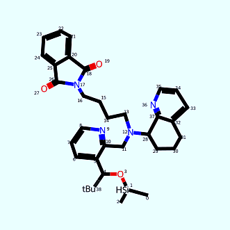 C[SiH](C)OC(c1cccnc1CN(CCCCN1C(=O)c2ccccc2C1=O)C1CCCc2cccnc21)C(C)(C)C